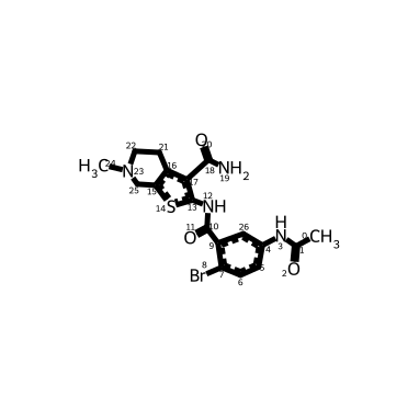 CC(=O)Nc1ccc(Br)c(C(=O)Nc2sc3c(c2C(N)=O)CCN(C)C3)c1